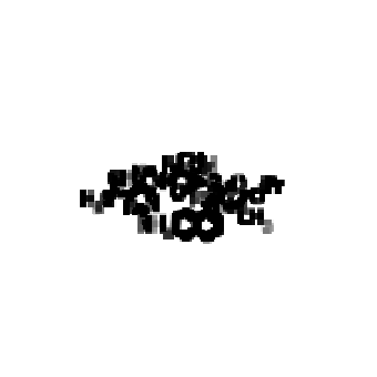 CC(C)OC(=O)[C@@H](C)NP(=S)(Oc1cccc2ccccc12)OC1[C@]2(O)[C@@](C)(F)[C@H](n3cnc4c(N(C)C)nc(N)nc43)O[C@]12F